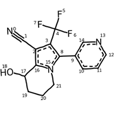 N#Cc1c(C(F)(F)F)c(-c2cccnc2)n2c1C(O)CCC2